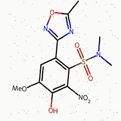 COc1cc(-c2noc(C)n2)c(S(=O)(=O)N(C)C)c([N+](=O)[O-])c1O